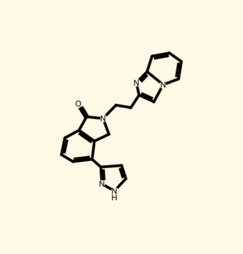 O=C1c2cccc(-c3cc[nH]n3)c2CN1CCc1cn2ccccc2n1